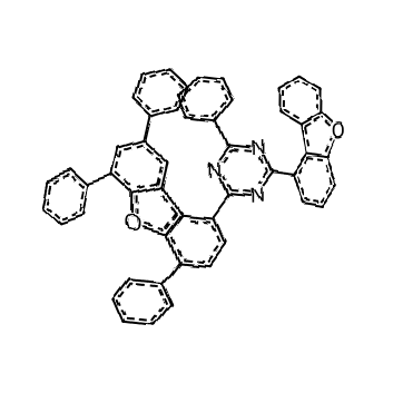 c1ccc(-c2cc(-c3ccccc3)c3oc4c(-c5ccccc5)ccc(-c5nc(-c6ccccc6)nc(-c6cccc7oc8ccccc8c67)n5)c4c3c2)cc1